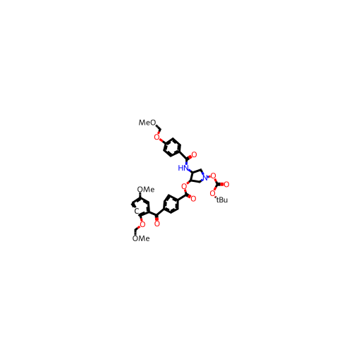 COCOc1ccc(C(=O)NC2CN(OC(=O)OC(C)(C)C)CC2OC(=O)c2ccc(C(=O)c3cc(OC)ccc3OCOC)cc2)cc1